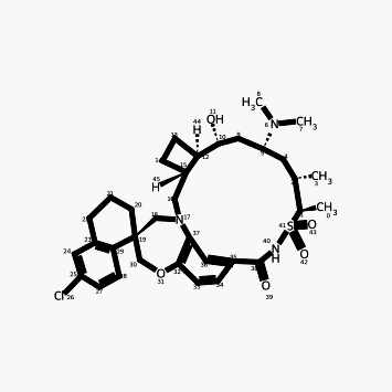 C[C@@H]1[C@@H](C)C[C@@H](N(C)C)C[C@@H](O)[C@@H]2CC[C@H]2CN2C[C@@]3(CCCc4cc(Cl)ccc43)COc3ccc(cc32)C(=O)NS1(=O)=O